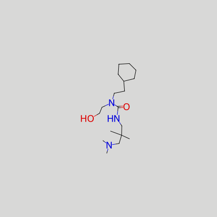 CN(C)CC(C)(C)CNC(=O)N(CCO)CCC1CCCCC1